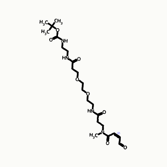 CN(CCC(=O)NCCOCCOCCC(=O)NCCNC(=O)OC(C)(C)C)C(=O)/C=C\C=O